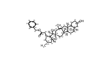 CC1=C2C[C@H]3[C@@H](CC[C@@H]4C[C@H](O)CC[C@@]43C)[C@@H]2CC[C@@]2(C1)O[C@@H]1C[C@H](C)CN(CC(=O)OCc3ccccc3)[C@H]1[C@H]2C